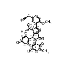 COc1cnc(CC#N)cc1-c1nc2c(n1C(C)C)C(c1ccc(Cl)cc1C)N(c1cc(Cl)cn(C)c1=O)C2=O